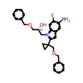 Nc1cc2cc(C3(COCc4ccccc4)CC3)n(C[C@@H](O)COCc3ccccc3)c2cc1F